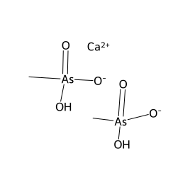 C[As](=O)([O-])O.C[As](=O)([O-])O.[Ca+2]